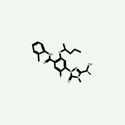 CCCC(C)Oc1cc(-n2nc([C@H](C)O)n(C)c2=O)c(F)cc1C(=O)Nc1ccccc1C